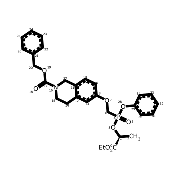 CCOC(=O)[C@H](C)OP(=O)(COc1ccc2c(c1)CCN(C(=O)OCc1ccccc1)C2)Oc1ccccc1